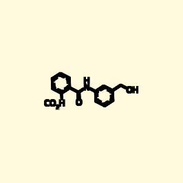 O=C(O)c1ccccc1C(=O)Nc1cccc(CO)c1